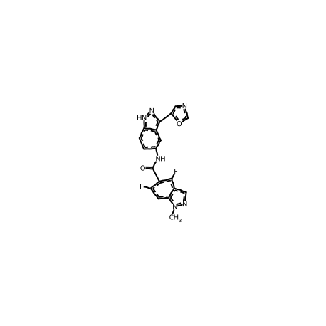 Cn1ncc2c(F)c(C(=O)Nc3ccc4[nH]nc(-c5cnco5)c4c3)c(F)cc21